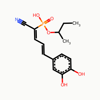 CCC(C)OP(=O)(O)C(C#N)=CC=Cc1ccc(O)c(O)c1